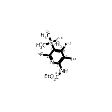 CCOC(=O)Nc1nc(F)c([Si](C)(C)C)c(F)c1I